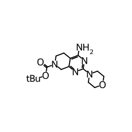 CC(C)(C)OC(=O)N1CCc2c(N)nc(N3CCOCC3)nc2C1